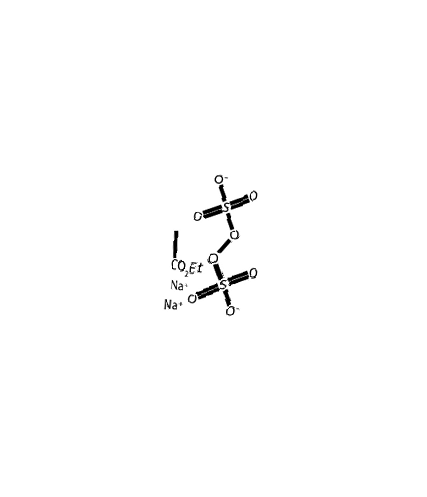 CCOC(C)=O.O=S(=O)([O-])OOS(=O)(=O)[O-].[Na+].[Na+]